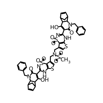 CS(=O)(=O)N(Cc1csc2c1S(=O)(=O)N=C(C1=C(O)C3C4C=CC(C4)C3N(Cc3ccccc3)C1=O)N2)Cc1csc2c1S(=O)(=O)N=C(C1=C(O)C3C4C=CC(C4)C3N(Cc3ccccc3)C1=O)N2